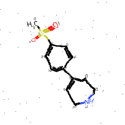 CS(=O)(=O)c1ccc(C2=CCNCC2)cc1